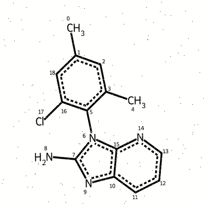 Cc1cc(C)c(-n2c(N)nc3cccnc32)c(Cl)c1